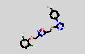 FC(F)(F)c1ccc(-n2cnnc2SCc2nc(COc3c(Cl)cccc3Cl)no2)cc1